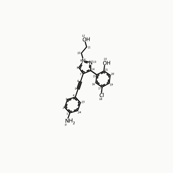 Nc1ccc(C#Cc2cn(CCO)nc2-c2cc(Cl)ccc2O)cc1